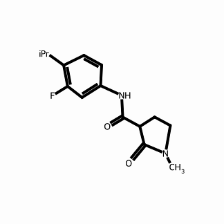 CC(C)c1ccc(NC(=O)C2CCN(C)C2=O)cc1F